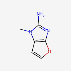 Cn1c(N)nc2occc21